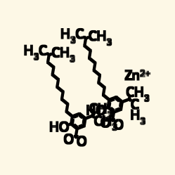 CC(C)CCCCCCCCCc1cc(C(C)C)cc(C(=O)[O-])c1O.CC(C)CCCCCCCCCc1cc(C(C)C)cc(C(=O)[O-])c1O.[Zn+2]